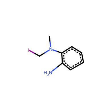 CN(CI)c1ccccc1N